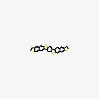 c1cc2cc3cc4c(cc3cc2s1)sc1cc2c(cc14)sc1cc3cc4ccsc4cc3cc12